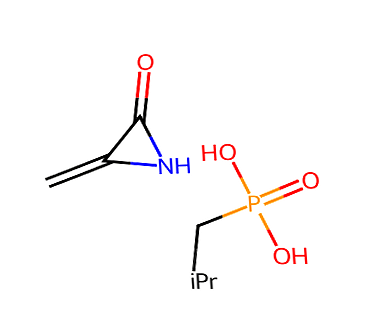 C=C1NC1=O.CC(C)CP(=O)(O)O